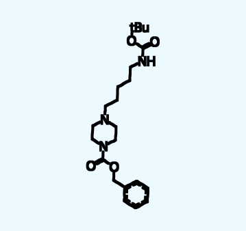 CC(C)(C)OC(=O)NCCCCCN1CCN(C(=O)OCc2ccccc2)CC1